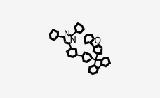 c1ccc(-c2cc(-c3cccc(-c4ccc(C5(c6ccc7oc8ccccc8c7c6)c6ccccc6-c6ccccc65)cc4)c3)nc(-c3ccccc3)n2)cc1